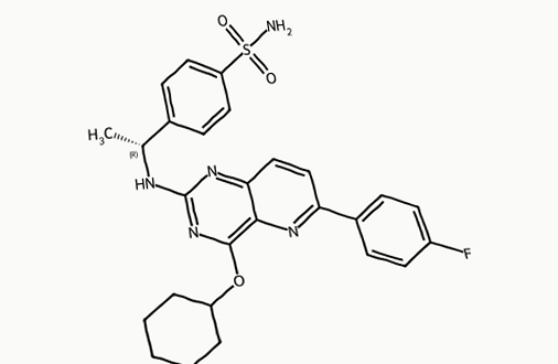 C[C@@H](Nc1nc(OC2CCCCC2)c2nc(-c3ccc(F)cc3)ccc2n1)c1ccc(S(N)(=O)=O)cc1